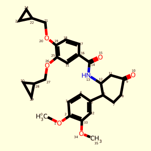 COc1ccc(C2CCC(=O)CC2NC(=O)c2ccc(OCC3CC3)c(OCC3CC3)c2)cc1OC